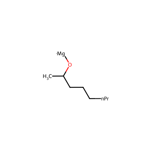 CCCCCCC(C)[O][Mg]